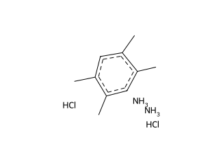 Cc1cc(C)c(C)cc1C.Cl.Cl.N.N